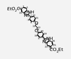 CCOC(=O)c1ccc2[nH]c(-c3ccc(OCCOc4ccc(-c5nc6cc(C(=O)OCC)ccc6[nH]5)cc4)cc3)nc2c1